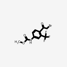 COC(=O)Nc1ccc(C(=O)CBr)c(C(F)(F)F)c1